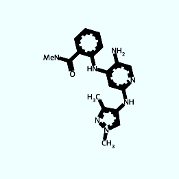 CNC(=O)c1ccccc1Nc1cc(Nc2cn(C)nc2C)ncc1N